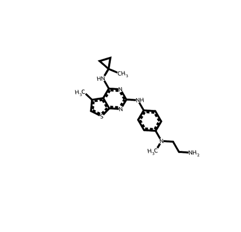 Cc1csc2nc(Nc3ccc(N(C)CCN)cc3)nc(NC3(C)CC3)c12